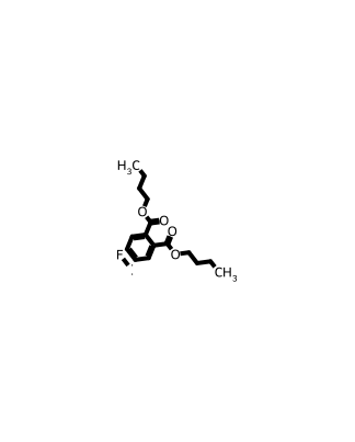 CCCCOC(=O)c1ccccc1C(=O)OCCCC.[C]F